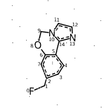 FCc1ccc2c(c1)OCn1ccnc1-2